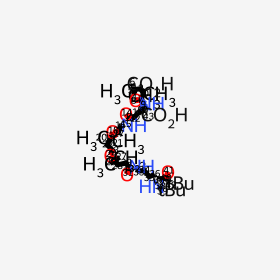 CC(CC(C)(C)C(=O)O)C(=O)N[C@@H](CCC(=O)NCCOC(C)(C)CCOC(C)(C)CCC(=O)NCCCC[C@@H](NC(C)(C)C)C(=O)C(C)(C)C)C(=O)O